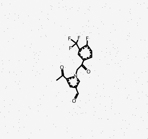 CC(=O)c1cc(C=O)cn1CC(=O)c1ccc(F)c(C(F)(F)F)c1